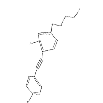 CCCCCc1ccc(C#Cc2ccc(F)cc2)c(F)c1